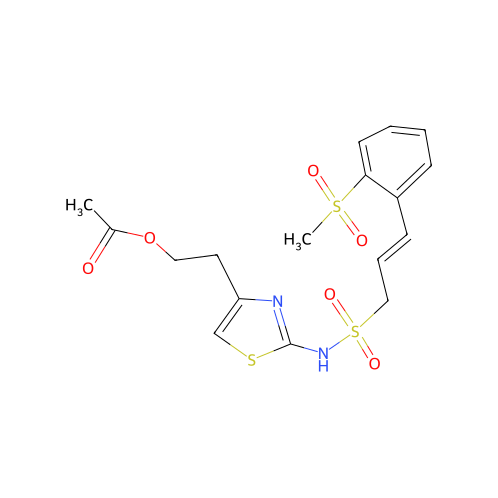 CC(=O)OCCc1csc(NS(=O)(=O)CC=Cc2ccccc2S(C)(=O)=O)n1